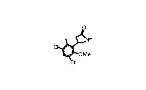 [CH2]Cc1cc(Cl)c(C)c(C2CC(=O)N(C)C2)c1OC